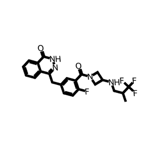 CC(CNC1CN(C(=O)c2cc(Cc3n[nH]c(=O)c4ccccc34)ccc2F)C1)C(F)(F)F